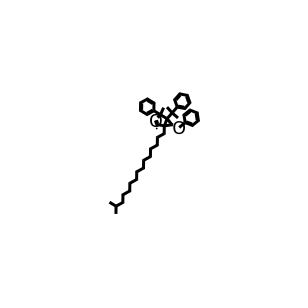 CC(C)CCCCCCCCCCCCCC1([C]=O)C(Oc2ccccc2)C1(C(C)(C)c1ccccc1)C(C)(C)c1ccccc1